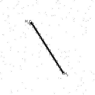 C=CC(=O)OCCOCCOCCOCCOCCOCCOCCOCCOCCOCCOCCOCCOCCOCCOCCOCCOCCOCCOC